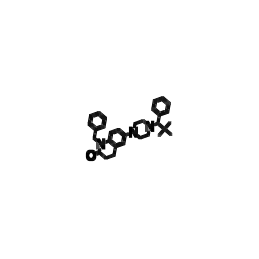 CC(C)(C)C(c1ccccc1)N1CCN(c2ccc3c(c2)CCC(=O)N3Cc2ccccc2)CC1